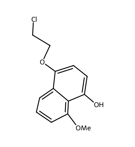 COc1cccc2c(OCCCl)ccc(O)c12